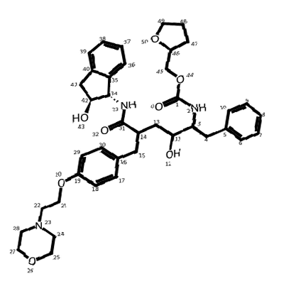 O=C(NC(Cc1ccccc1)C(O)CC(Cc1ccc(OCCN2CCOCC2)cc1)C(=O)N[C@H]1c2ccccc2C[C@@H]1O)OCC1CCCO1